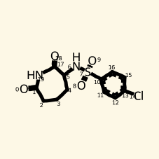 O=C1CCCC(NS(=O)(=O)c2ccc(Cl)cc2)C(=O)N1